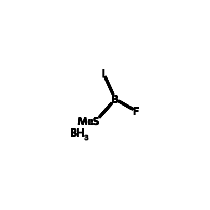 B.CSB(F)I